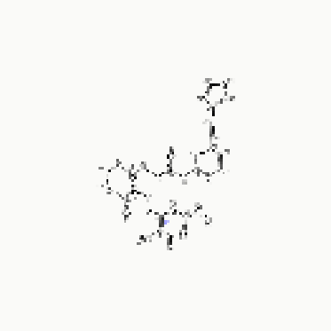 C=C/C(Br)=C(/CCN1C(=O)SCCN1CCC(=O)Cc1cccc(C#Cc2ccsc2)c1)SC(=O)OC